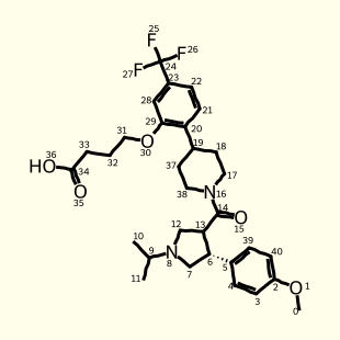 COc1ccc([C@@H]2CN(C(C)C)CC2C(=O)N2CCC(c3ccc(C(F)(F)F)cc3OCCCC(=O)O)CC2)cc1